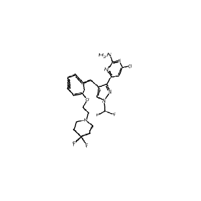 Nc1nc(Cl)cc(-c2nn(C(F)F)cc2Cc2ccccc2OCCN2CCC(F)(F)CC2)n1